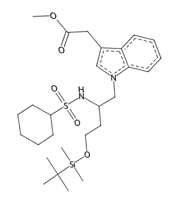 COC(=O)Cc1cn(CC(CCO[Si](C)(C)C(C)(C)C)NS(=O)(=O)C2CCCCC2)c2ccccc12